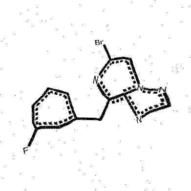 Fc1cccc(Cc2nc(Br)cn3ncnc23)c1